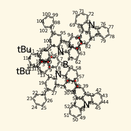 CC(C)(C)c1cc(-c2cc3c4c(c2)N(c2c(-c5ccccc5)cc(-c5ccccc5)cc2-c2ccccc2)c2cc(-c5cc6c7ccccc7n7c8ccccc8c(c5)c67)ccc2B4c2ccc(-c4cc5c6ccccc6n6c7ccccc7c(c4)c56)cc2N3c2c(-c3ccccc3)cc(-c3ccccc3)cc2-c2ccccc2)cc(C(C)(C)C)c1